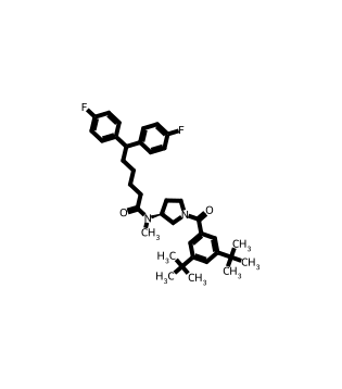 CN(C(=O)CCCCC(c1ccc(F)cc1)c1ccc(F)cc1)[C@H]1CCN(C(=O)c2cc(C(C)(C)C)cc(C(C)(C)C)c2)C1